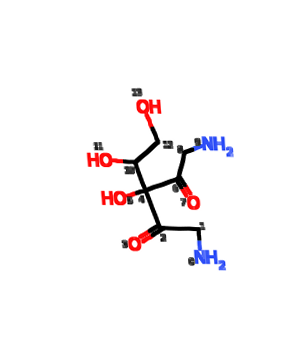 NCC(=O)C(O)(C(=O)CN)C(O)CO